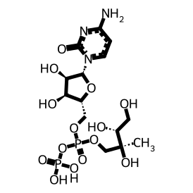 C[C@](O)(COP(=O)(OC[C@H]1O[C@@H](n2ccc(N)nc2=O)[C@H](O)[C@@H]1O)OP(=O)(O)O)[C@H](O)CO